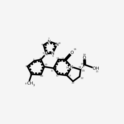 Cc1ccc(-n2cnnn2)c(-c2cc3n(c(=O)c2)[C@H](C(=O)O)CC3)c1